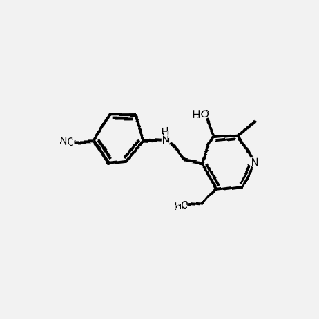 Cc1ncc(CO)c(CNc2ccc(C#N)cc2)c1O